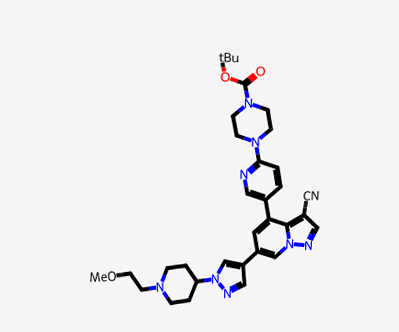 COCCN1CCC(n2cc(-c3cc(-c4ccc(N5CCN(C(=O)OC(C)(C)C)CC5)nc4)c4c(C#N)cnn4c3)cn2)CC1